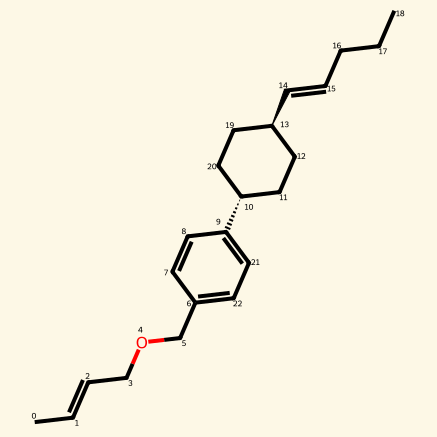 C/C=C/COCc1ccc([C@H]2CC[C@H](/C=C/CCC)CC2)cc1